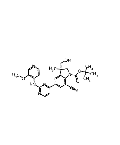 COc1cnccc1Nc1nccc(-c2cc(C#N)c3c(c2)C(C)(CO)CN3C(=O)OC(C)(C)C)n1